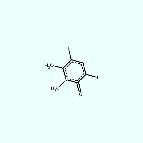 Cc1c(I)cc(I)c(=O)n1C